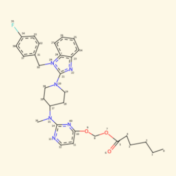 CCCCCC(=O)OCOc1ccnc(N(C)C2CCN(c3nc4ccccc4n3Cc3ccc(F)cc3)CC2)n1